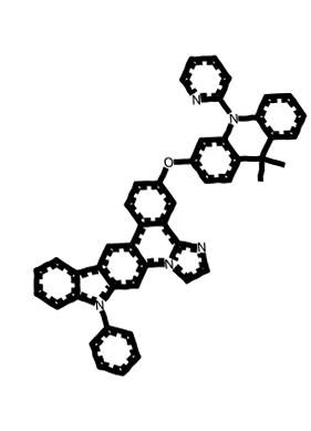 CC1(C)c2ccccc2N(c2ccccn2)c2cc(Oc3ccc4c5cc6c7ccccc7n(-c7ccccc7)c6cc5n5ccnc5c4c3)ccc21